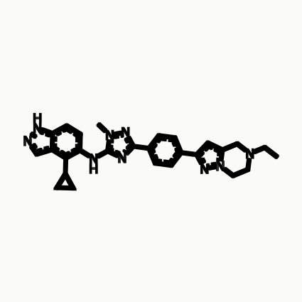 CCN1CCn2nc(-c3ccc(-c4nc(Nc5ccc6[nH]ncc6c5C5CC5)n(C)n4)cc3)cc2C1